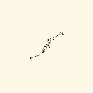 CCCCCCCCCc1cnc(-c2ccc(OC(=O)c3ccc(C4CCC(CCCCCCC)CC4)c(F)c3)cc2)nc1